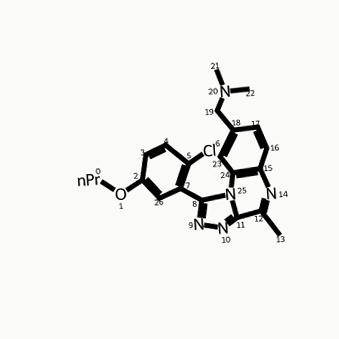 CCCOc1ccc(Cl)c(-c2nnc3c(C)nc4ccc(CN(C)C)cc4n23)c1